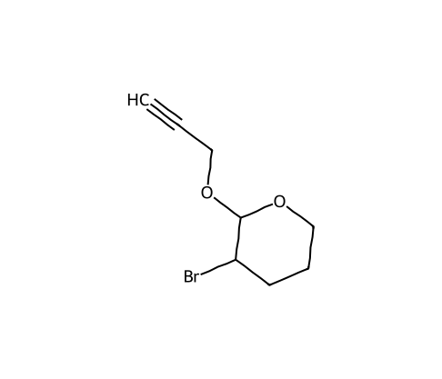 C#CCOC1OCCCC1Br